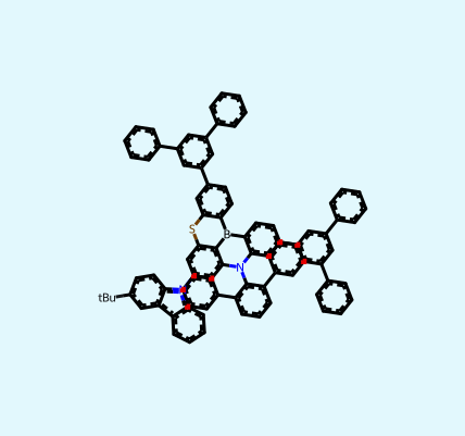 CC(C)(C)c1ccc2c(c1)c1ccccc1n2-c1cc2c3c(c1)N(c1c(-c4ccccc4)cccc1-c1ccccc1)c1cc(-c4cc(-c5ccccc5)cc(-c5ccccc5)c4)ccc1B3c1ccc(-c3cc(-c4ccccc4)cc(-c4ccccc4)c3)cc1S2